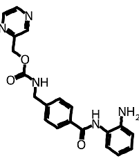 Nc1ccccc1NC(=O)c1ccc(CNC(=O)OCc2cnccn2)cc1